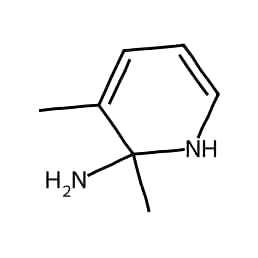 CC1=CC=CNC1(C)N